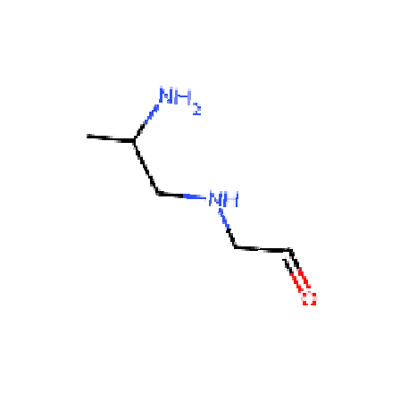 CC(N)CNCC=O